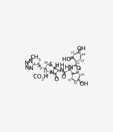 Cn1nnnc1SCC1=C(C(=O)O)N2C(=O)C(NC(=O)C(NC(=O)c3ccc(O)cc3O)c3ccc(O)cc3)[C@@H]2SC1